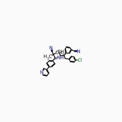 CC(N[C@@H](c1ccc(-c2cccnc2)cc1)C(C)(C)C#N)C(Cc1ccc(Cl)cc1)c1cccc(C#N)c1